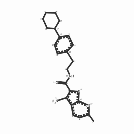 Cc1ccc2c(N)c(C(=O)NCCc3ccc(C4CCCCC4)cc3)sc2n1